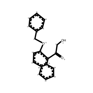 O=C(CO)c1c(OCc2ccccc2)ccc2ccccc12